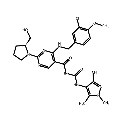 COc1ccc(CNc2nc(N3CCC[C@H]3CO)ncc2C(=O)NC(=O)Nc2c(C)nn(C)c2C)cc1Cl